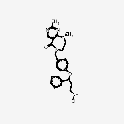 CNCCC(Oc1ccc(CN2CCN(C)c3nc(C)ncc3C2=O)cc1)c1ccccc1